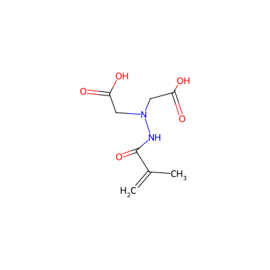 C=C(C)C(=O)NN(CC(=O)O)CC(=O)O